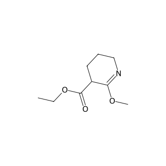 CCOC(=O)C1CCCN=C1OC